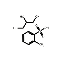 Cc1ccccc1S(=O)(=O)O.OCC(O)CO